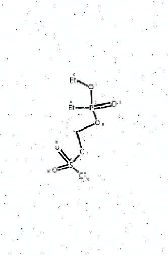 CCOP(=O)(CC)OCOS(=O)(=O)C(F)(F)F